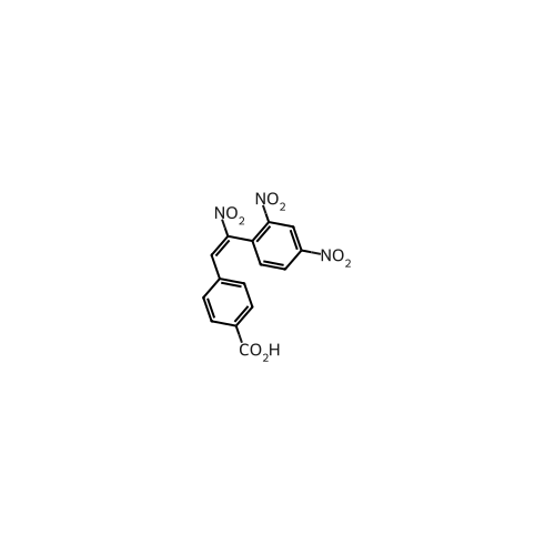 O=C(O)c1ccc(C=C(c2ccc([N+](=O)[O-])cc2[N+](=O)[O-])[N+](=O)[O-])cc1